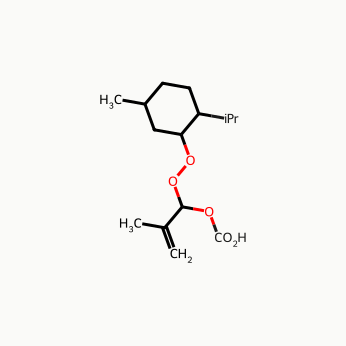 C=C(C)C(OOC1CC(C)CCC1C(C)C)OC(=O)O